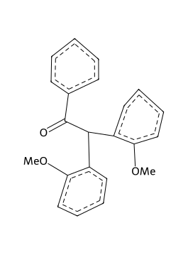 COc1ccccc1C(C(=O)c1ccccc1)c1ccccc1OC